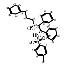 Cc1ccc(S(=O)(=O)N[C@@H](c2ccccc2)[C@H](c2ccccc2)N(Cl)CCCC2=CCC=CC2)cc1